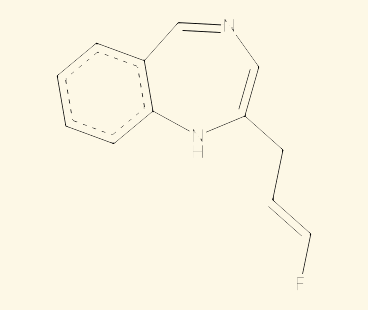 FC=CCC1=CN=Cc2ccccc2N1